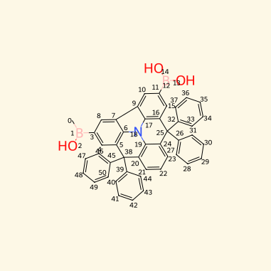 CB(O)c1cc2c3c(c1)c1cc(B(O)O)cc4c1n3-c1c(cccc1C4(c1ccccc1)c1ccccc1)C2(c1ccccc1)c1ccccc1